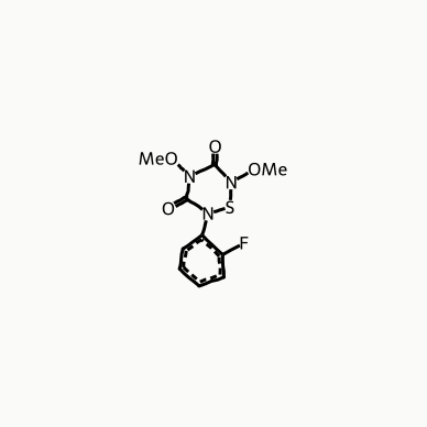 CON1SN(c2ccccc2F)C(=O)N(OC)C1=O